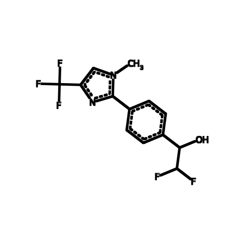 Cn1cc(C(F)(F)F)nc1-c1ccc(C(O)C(F)F)cc1